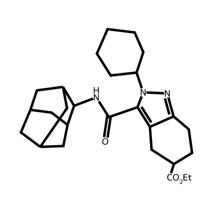 CCOC(=O)C1CCc2nn(C3CCCCC3)c(C(=O)NC3C4CC5CC(C4)CC3C5)c2C1